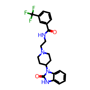 O=C(NCCN1CCC(n2c(=O)[nH]c3ccccc32)CC1)c1cccc(C(F)(F)F)c1